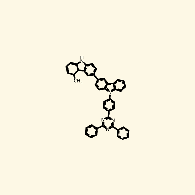 CC1C=CC=C2Nc3ccc(-c4ccc5c(c4)c4ccccc4n5-c4ccc(-c5nc(-c6ccccc6)nc(-c6ccccc6)n5)cc4)cc3C21